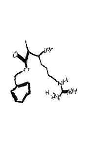 CC(C)C(CCCNC(=N)N)C(C)C(=O)OCc1ccccc1